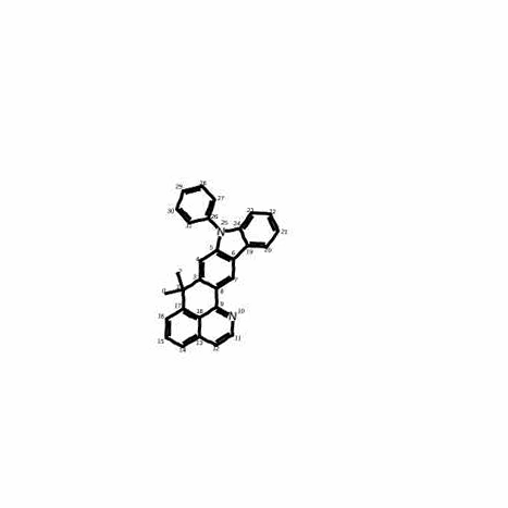 CC1(C)c2cc3c(cc2-c2nccc4cccc1c24)c1ccccc1n3-c1ccccc1